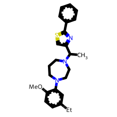 CCc1ccc(OC)c(N2CCCN(C(C)c3csc(-c4ccccc4)n3)CC2)c1